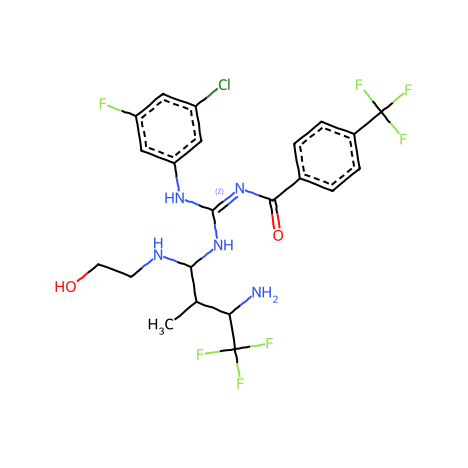 CC(C(NCCO)N/C(=N\C(=O)c1ccc(C(F)(F)F)cc1)Nc1cc(F)cc(Cl)c1)C(N)C(F)(F)F